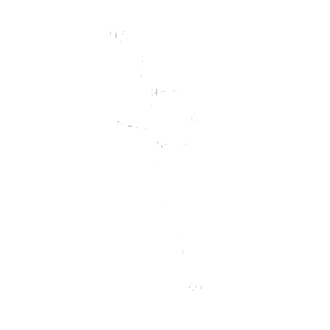 C=CCN1COCN(CCCCCC)C1=O